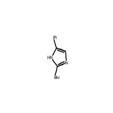 CCC(C)c1ncc(C(C)C)[nH]1